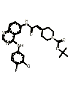 CC(C)(C)OC(=O)N1CCC(=CC(=O)Nc2ccc3ncnc(Nc4ccc(F)c(Cl)c4)c3c2)CC1